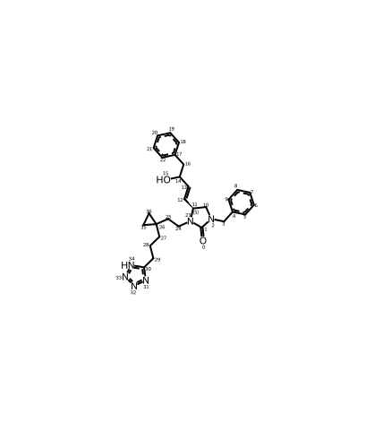 O=C1N(Cc2ccccc2)C[C@H](C=CC(O)Cc2ccccc2)N1CCC1(CCCc2nnn[nH]2)CC1